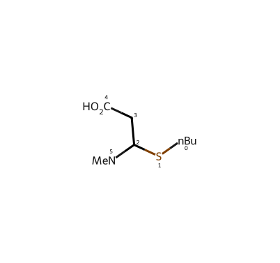 CCCCSC(CC(=O)O)NC